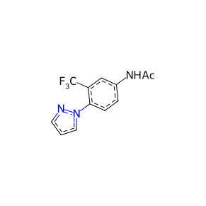 CC(=O)Nc1ccc(-n2cccn2)c(C(F)(F)F)c1